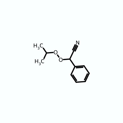 CC(C)OOC(C#N)c1ccccc1